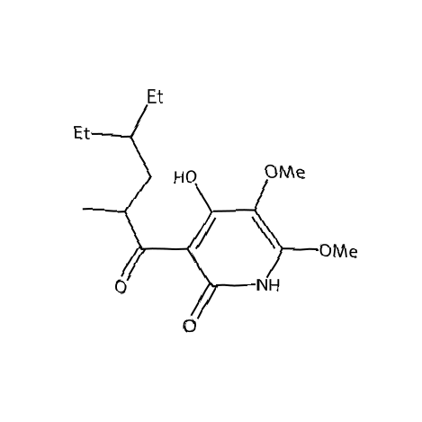 CCC(CC)CC(C)C(=O)c1c(O)c(OC)c(OC)[nH]c1=O